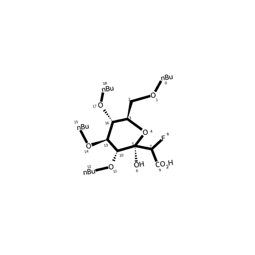 CCCCOC[C@H]1O[C@@](O)(C(F)C(=O)O)[C@H](OCCCC)[C@@H](OCCCC)[C@@H]1OCCCC